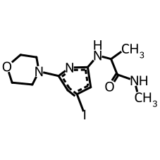 CNC(=O)C(C)Nc1cc(I)cc(N2CCOCC2)n1